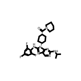 CC(C)Nc1ncc2nc(Nc3c(F)cc(F)cc3F)n([C@H]3CC[C@@H](C(=O)N4CCCCC4)CC3)c2n1